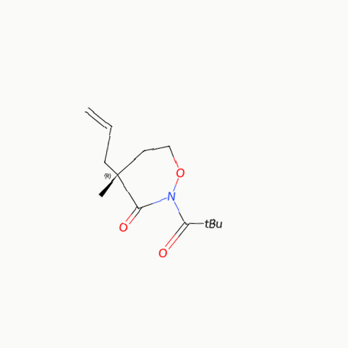 C=CC[C@]1(C)CCON(C(=O)C(C)(C)C)C1=O